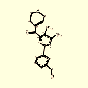 Nc1nc(-c2cccc(CO)c2)nc(C(=O)C2=CCOCC2)c1[N+](=O)[O-]